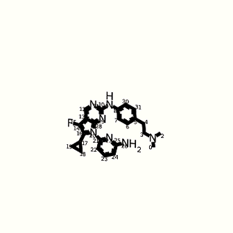 CN(C)CCc1ccc(Nc2ncc3c(F)c(C4CC4)n(-c4cccc(N)n4)c3n2)cc1